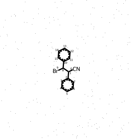 N#CC(c1ccccc1)C(Br)c1ccccc1